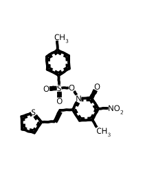 Cc1ccc(S(=O)(=O)On2c(C=Cc3cccs3)cc(C)c([N+](=O)[O-])c2=O)cc1